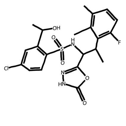 Cc1ccc(F)c(C(C)C(NS(=O)(=O)c2ccc(Cl)cc2C(C)O)c2n[nH]c(=O)o2)c1C